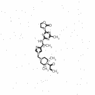 C=CC(=O)N1[C@H](C)CN(Cn2cnc([C@H](C)Nc3nc(C)nc(N4CCOC4=O)n3)c2)C[C@@H]1C